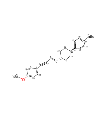 CCCCOc1ccc(C#CC=C[C@H]2CC[C@H](c3ccc(CCCC)cc3)CC2)cc1